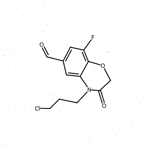 O=Cc1cc(F)c2c(c1)N(CCCCl)C(=O)CO2